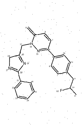 C=C1C=CC(c2ccc(CC(C)F)cc2)=NN1CC1=NC(c2ccccc2)=NC1